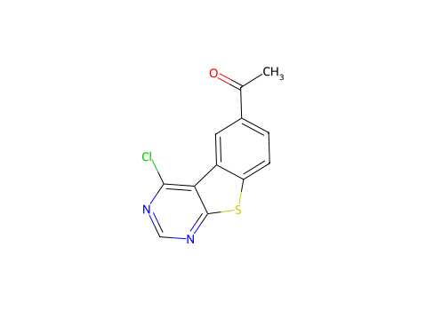 CC(=O)c1ccc2sc3ncnc(Cl)c3c2c1